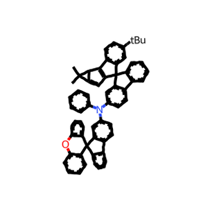 CC(C)(C)c1ccc2c(c1)C1(C3=C2C2C(=C3)C2(C)C)c2ccccc2-c2ccc(N(c3ccccc3)c3ccc4c(c3)C3(c5ccccc5Oc5ccccc53)c3ccccc3-4)cc21